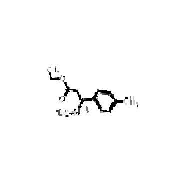 CCOC(=O)CC(NC)c1ccc(C)cc1